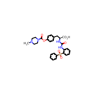 CN1CCN(C(=O)Oc2ccc(C[C@H](NC(=O)Nc3ccccc3S(=O)(=O)c3ccccc3)C(=O)O)cc2)CC1